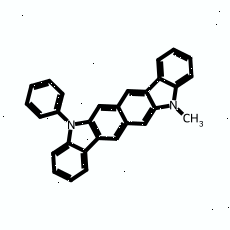 Cn1c2ccccc2c2cc3cc4c(cc3cc21)c1ccccc1n4-c1ccccc1